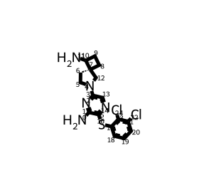 Nc1nc(N2CC[C@]3(CCC3N)C2)cnc1Sc1cccc(Cl)c1Cl